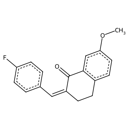 COc1ccc2c(c1)C(=O)C(=Cc1ccc(F)cc1)CC2